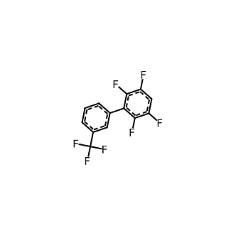 Fc1cc(F)c(F)c(-c2cccc(C(F)(F)F)c2)c1F